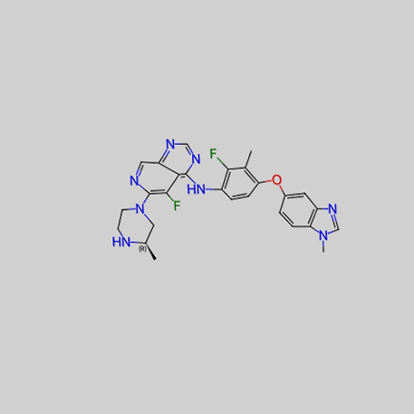 Cc1c(Oc2ccc3c(c2)ncn3C)ccc(Nc2ncnc3cnc(N4CCN[C@H](C)C4)c(F)c23)c1F